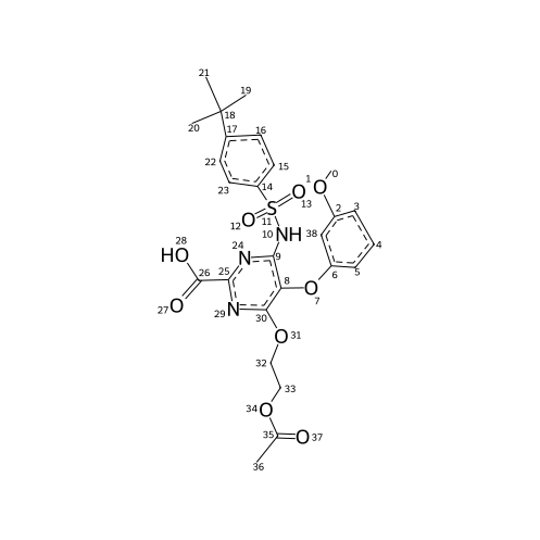 COc1cccc(Oc2c(NS(=O)(=O)c3ccc(C(C)(C)C)cc3)nc(C(=O)O)nc2OCCOC(C)=O)c1